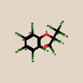 O=C(F)C(F)(Oc1c(F)c(F)c(F)c(F)c1F)C(F)(F)F